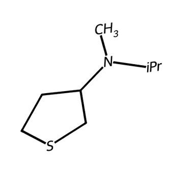 CC(C)N(C)C1CCSC1